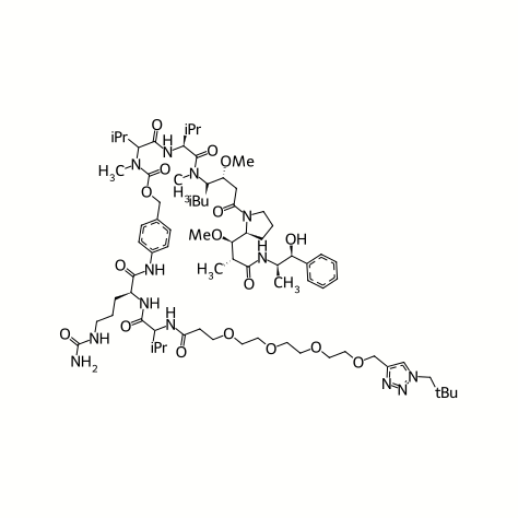 CC[C@H](C)C([C@@H](CC(=O)N1CCC[C@H]1[C@H](OC)[C@@H](C)C(=O)N[C@H](C)[C@@H](O)c1ccccc1)OC)N(C)C(=O)[C@@H](NC(=O)C(C(C)C)N(C)C(=O)OCc1ccc(NC(=O)[C@H](CCCNC(N)=O)NC(=O)C(NC(=O)CCOCCOCCOCCOCc2cn(CC(C)(C)C)nn2)C(C)C)cc1)C(C)C